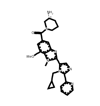 COc1cc(C(=O)N2CCC[C@@H](N)C2)cc2nc(-c3cnc(-c4ccccn4)n3CC3CC3)n(C)c12